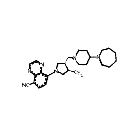 N#Cc1ccc(N2C[C@H](CN3CCC(N4CCCCCC4)CC3)[C@@H](C(F)(F)F)C2)c2nccnc12